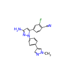 Cn1cc(-c2ccc(-n3nc(N)cc3-c3ccc(C#N)c(F)c3)cc2)cn1